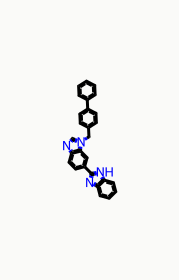 c1ccc(-c2ccc(Cn3cnc4ccc(-c5nc6ccccc6[nH]5)cc43)cc2)cc1